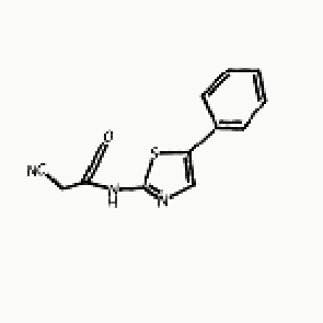 N#CCC(=O)Nc1ncc(-c2ccccc2)s1